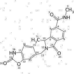 CNC(=O)c1ccc2c(c1)C(C)N(Cc1ccc3[nH]c(=O)oc3c1)C2=O